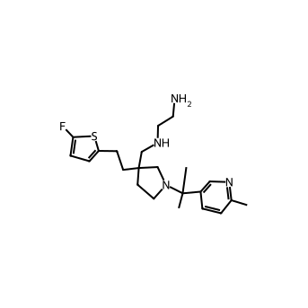 Cc1ccc(C(C)(C)N2CCC(CCc3ccc(F)s3)(CNCCN)C2)cn1